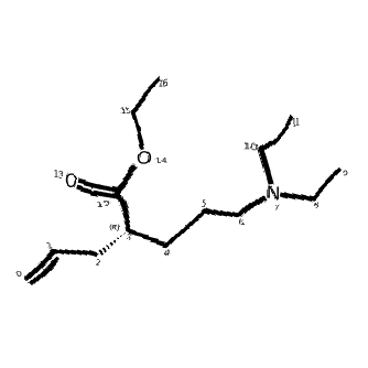 C=CC[C@@H](CCCN(CC)CC)C(=O)OCC